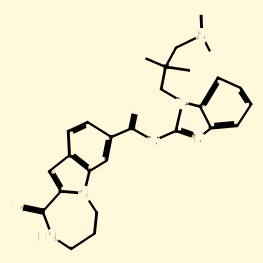 CN(C)CC(C)(C)Cn1c(NC(=O)c2ccc3cc4n(c3c2)CCCNC4=O)nc2ccccc21